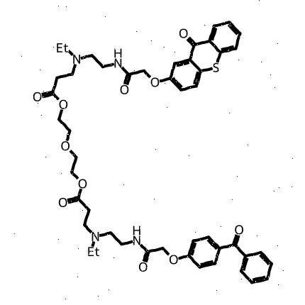 CCN(CCNC(=O)COc1ccc(C(=O)c2ccccc2)cc1)CCC(=O)OCCOCCOC(=O)CCN(CC)CCNC(=O)COc1ccc2sc3ccccc3c(=O)c2c1